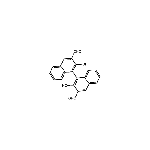 O=Cc1cc2ccccc2c(-c2c(O)c(C=O)cc3ccccc23)c1O